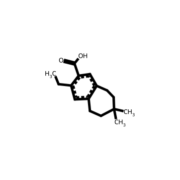 CCc1cc2c(cc1C(=O)O)CCC(C)(C)CC2